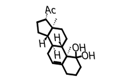 CC(=O)[C@H]1CC[C@H]2[C@@H]3CC=C4CCCC(O)(O)[C@]4(C)[C@H]3CC[C@]12C